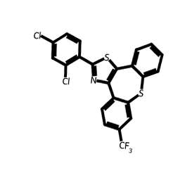 FC(F)(F)c1ccc2c(c1)Sc1ccccc1-c1sc(-c3ccc(Cl)cc3Cl)nc1-2